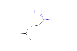 CC(C)OCC(=N)N